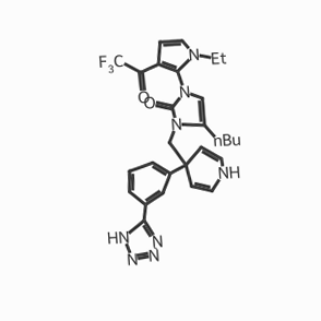 CCCCc1cn(-c2c(C(=O)C(F)(F)F)ccn2CC)c(=O)n1CC1(c2cccc(-c3nnn[nH]3)c2)C=CNC=C1